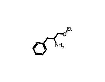 CCOC[C@@H](N)Cc1ccccc1